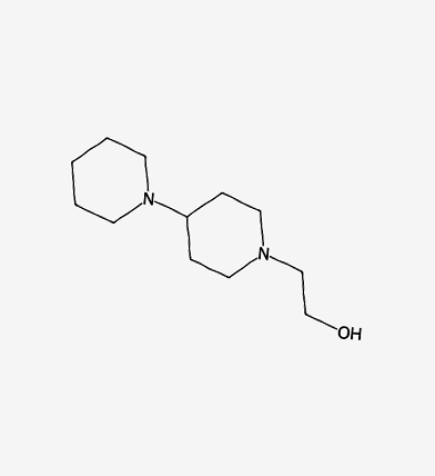 OCCN1CCC(N2CCCCC2)CC1